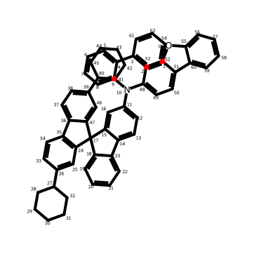 c1ccc(-c2ccccc2N(c2ccc3c(c2)C2(c4ccccc4-3)c3cc(C4CCCCC4)ccc3-c3ccc(C4CCCCC4)cc32)c2ccc3c(c2)oc2ccccc23)cc1